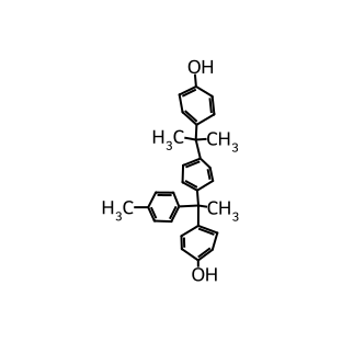 Cc1ccc(C(C)(c2ccc(O)cc2)c2ccc(C(C)(C)c3ccc(O)cc3)cc2)cc1